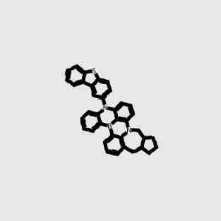 c1ccc2c(c1)B1c3cccc4c3N(CC3CCCC3C4)c3cccc(c31)N2c1ccc2sc3ccccc3c2c1